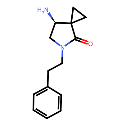 N[C@@H]1CN(CCc2ccccc2)C(=O)C12CC2